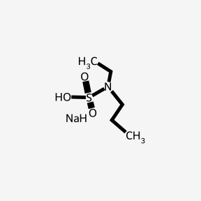 CCCN(CC)S(=O)(=O)O.[NaH]